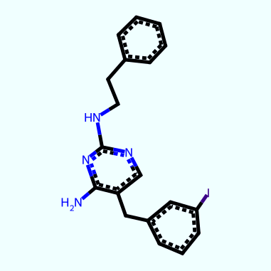 Nc1nc(NCCc2ccccc2)ncc1Cc1cccc(I)c1